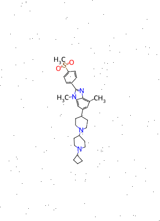 Cc1cc(C2CCN(C3CCN(C4CCC4)CC3)CC2)cc2c1nc(-c1ccc(S(C)(=O)=O)cc1)n2C